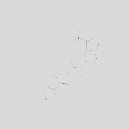 CC1CN(N(O)[S+]([O-])c2ccc3c(c2)C(C(=O)O)CC3)CC(C)N1c1ccc(C(F)(F)F)cn1